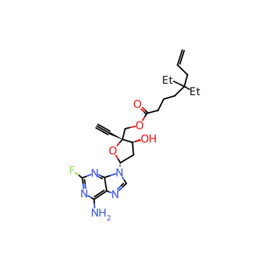 C#C[C@]1(COC(=O)CCCC(CC)(CC)CC=C)O[C@@H](n2cnc3c(N)nc(F)nc32)C[C@@H]1O